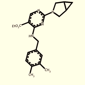 CCOC(=O)c1cnc(N2CC3CC3C2)nc1NCc1ccc(C)c(C)c1